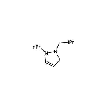 CCCN1C=CCN1CC(C)C